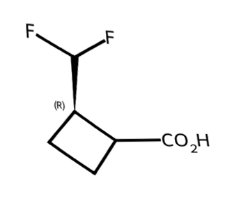 O=C(O)C1CC[C@H]1C(F)F